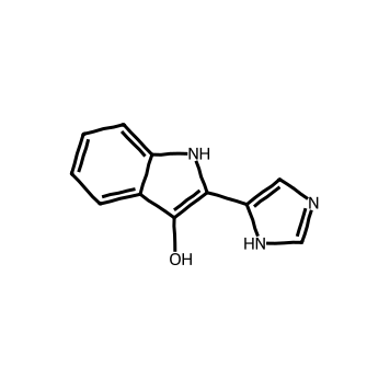 Oc1c(-c2cnc[nH]2)[nH]c2ccccc12